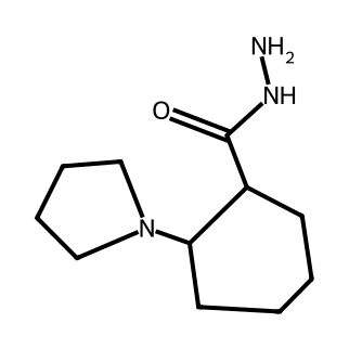 NNC(=O)C1CCCCC1N1CCCC1